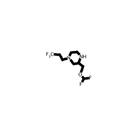 FC(F)OCC1CN(CCC(F)(F)F)CCN1